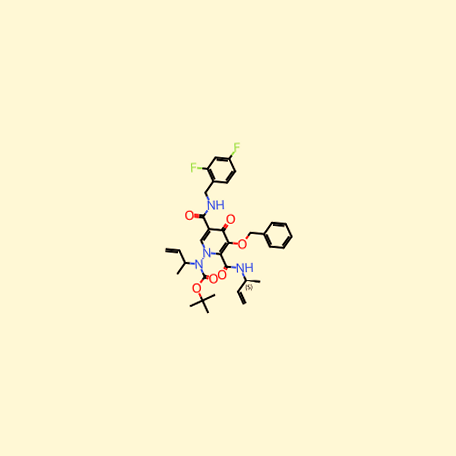 C=CC(C)N(C(=O)OC(C)(C)C)n1cc(C(=O)NCc2ccc(F)cc2F)c(=O)c(OCc2ccccc2)c1C(=O)N[C@@H](C)C=C